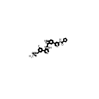 CS(=O)(=O)NCc1cc(F)cc(-c2cncc3[nH]c(-c4n[nH]c5ccc(-c6cncc(NC(=O)C7CCCC7)c6)cc45)nc23)c1